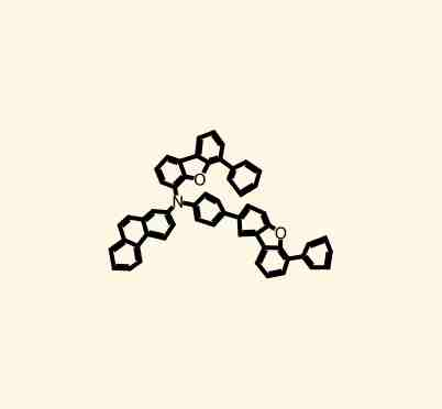 c1ccc(-c2cccc3c2oc2ccc(-c4ccc(N(c5ccc6c(ccc7ccccc76)c5)c5cccc6c5oc5c(-c7ccccc7)cccc56)cc4)cc23)cc1